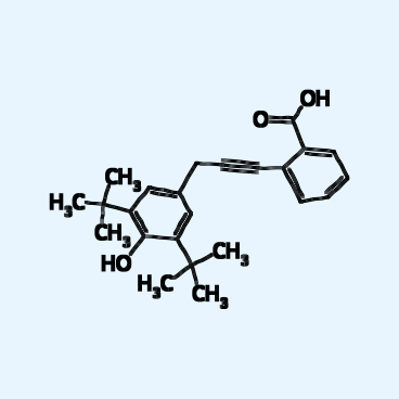 CC(C)(C)c1cc(CC#Cc2ccccc2C(=O)O)cc(C(C)(C)C)c1O